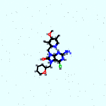 COc1c(C)cnc(Cn2c(=O)n(CC3CCCCO3)c3c(Cl)nc(N)nc32)c1C